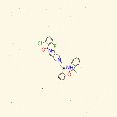 CC(C(=O)N[C@@H](CCN1CC2=CN(C(=O)c3c(F)cccc3Cl)CC2C1)c1ccccc1)c1ccccc1